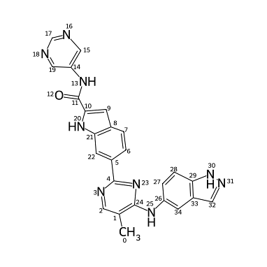 Cc1cnc(-c2ccc3cc(C(=O)Nc4cncnc4)[nH]c3c2)nc1Nc1ccc2[nH]ncc2c1